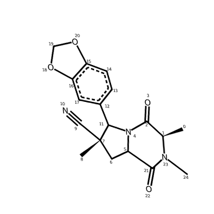 C[C@@H]1C(=O)N2C(C[C@](C)(C#N)C2c2ccc3c(c2)OCO3)C(=O)N1C